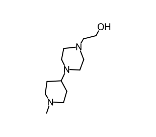 CN1CCC(N2CCN(CCO)CC2)CC1